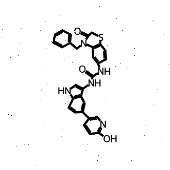 O=C(Nc1ccc2c(c1)N(Cc1ccccc1)C(=O)CS2)Nc1c[nH]c2ccc(-c3ccc(O)nc3)cc12